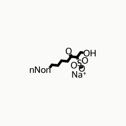 CCCCCCCCCCCCCC(=O)C(CO)S(=O)(=O)[O-].[Na+]